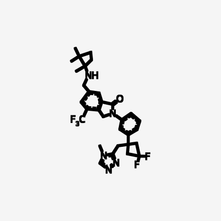 Cn1cnnc1CC1(c2cccc(N3Cc4c(cc(CNC5(C)CCC5(C)C)cc4C(F)(F)F)C3=O)c2)CC(F)(F)C1